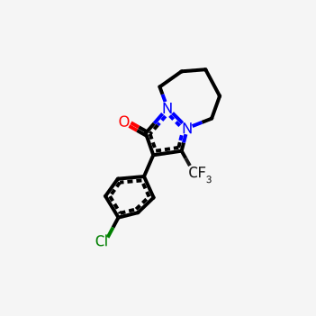 O=c1c(-c2ccc(Cl)cc2)c(C(F)(F)F)n2n1CCCCC2